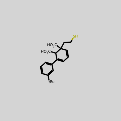 CC(C)(C)c1cccc(C2=CC=CC(CCS)(C(=O)O)C2C(=O)O)c1